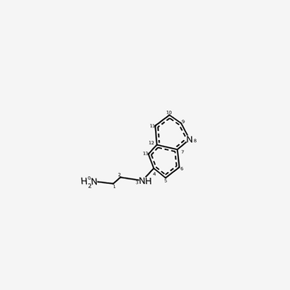 NCCNc1ccc2ncccc2c1